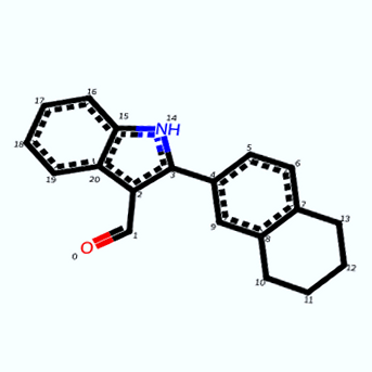 O=Cc1c(-c2ccc3c(c2)CCCC3)[nH]c2ccccc12